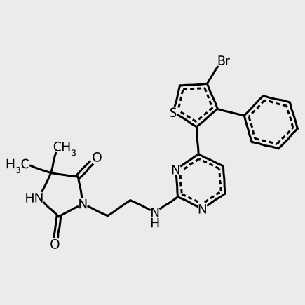 CC1(C)NC(=O)N(CCNc2nccc(-c3scc(Br)c3-c3ccccc3)n2)C1=O